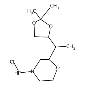 CC(C1CN(PCl)CCO1)C1COC(C)(C)O1